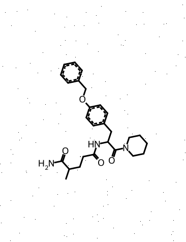 CC(C[CH]C(=O)NC(Cc1ccc(OCc2ccccc2)cc1)C(=O)N1CCCCC1)C(N)=O